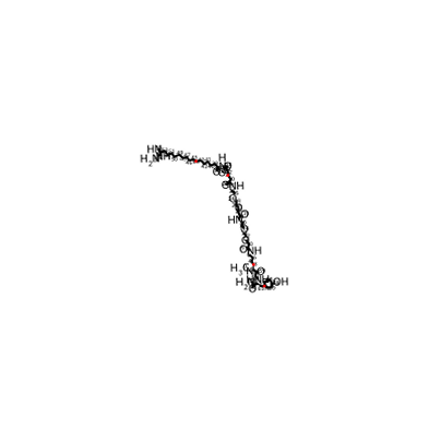 CN[C@@H](CCCCNC(=O)COCCOCCNC(=O)COCCOCCNC(=O)CCCS(=O)(=O)NC(=O)CCCCCCCCCCCCCCCC(=N)NN)C(=O)CN[C@@H](Cc1ccc(O)cc1)C(N)=O